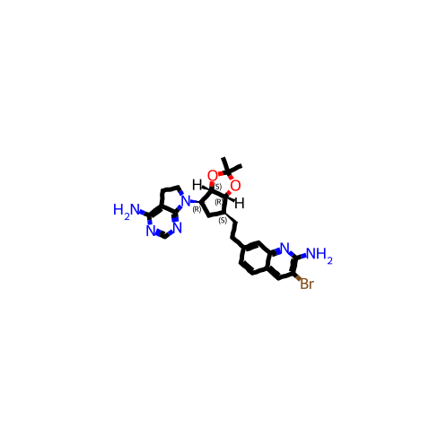 CC1(C)O[C@@H]2[C@@H](CCc3ccc4cc(Br)c(N)nc4c3)C[C@@H](N3CCc4c(N)ncnc43)[C@@H]2O1